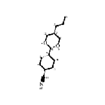 CCC[C@H]1CO[C@H]([C@H]2CC[C@H](C#N)CC2)OC1